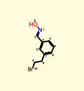 ON=Cc1cccc(CCBr)c1